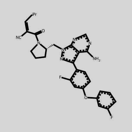 CC(C)/C=C(/C#N)C(=O)N1CCC[C@H]1Cn1nc(-c2ccc(Oc3cccc(F)c3)cc2F)c2c(N)ncnc21